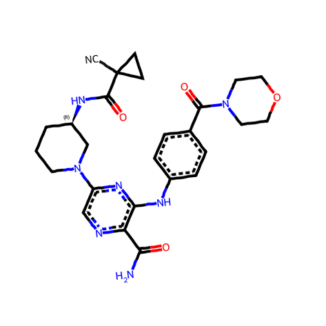 N#CC1(C(=O)N[C@@H]2CCCN(c3cnc(C(N)=O)c(Nc4ccc(C(=O)N5CCOCC5)cc4)n3)C2)CC1